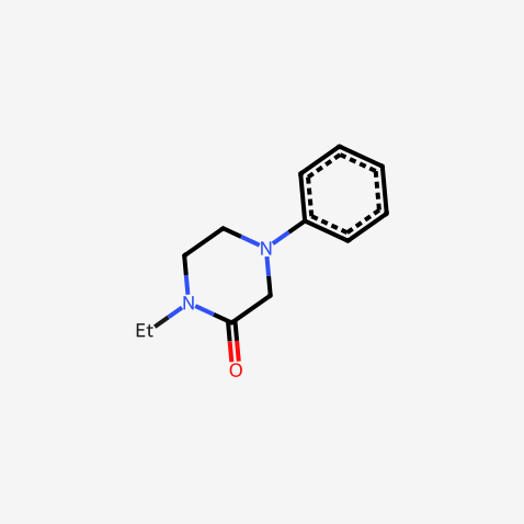 CCN1CCN(c2ccccc2)CC1=O